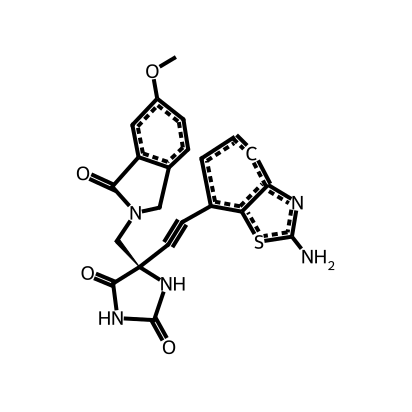 COc1ccc2c(c1)C(=O)N(C[C@@]1(C#Cc3cccc4nc(N)sc34)NC(=O)NC1=O)C2